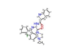 CN1CCN2C(=O)C(NC(=O)c3cnc4ccccc4c3)N=C(c3ccccc3F)c3cccc1c32